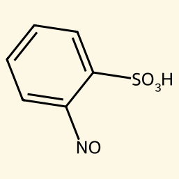 O=Nc1ccccc1S(=O)(=O)O